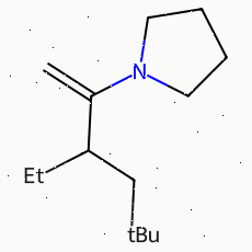 C=C(C(CC)CC(C)(C)C)N1CCCC1